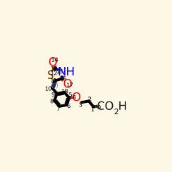 O=C(O)CCCOc1cccc(/C=C2/SC(=O)NC2=O)c1